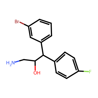 NCC(O)C(c1ccc(F)cc1)c1cccc(Br)c1